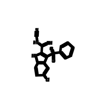 N#CNC(=N)c1[nH]c2ccc(Cl)cc2c1S(=O)(=O)c1ccccc1